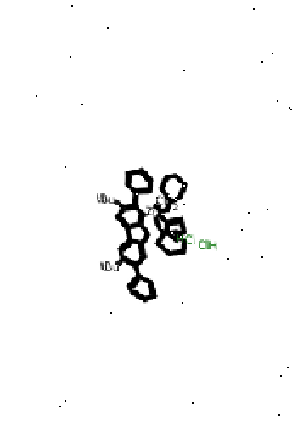 Cl.Cl.[CH2]=[Zr]([CH2]C1CCCCC1)([CH2]C1CCCCC1)([C]1=CC=CC1)[c]1c2c(cc(C(C)(C)C)c1-c1ccccc1)-c1cc(C(C)(C)C)c(-c3ccccc3)cc1C2